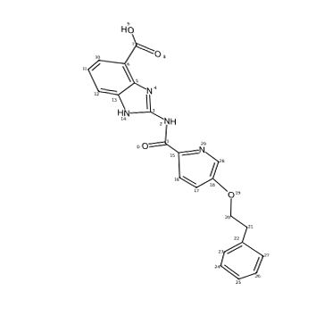 O=C(Nc1nc2c(C(=O)O)cccc2[nH]1)c1ccc(OCCc2ccccc2)cn1